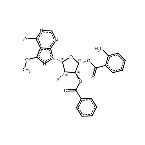 COc1nn([C@@H]2O[C@H](OC(=O)c3ccccc3C)[C@@H](OC(=O)c3ccccc3)[C@@H]2F)c2ncnc(N)c12